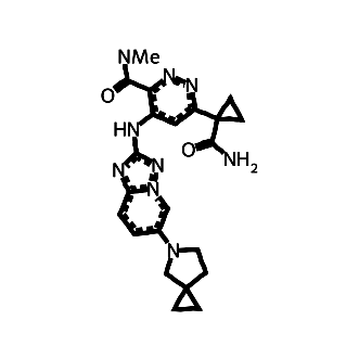 CNC(=O)c1nnc(C2(C(N)=O)CC2)cc1Nc1nc2ccc(N3CCC4(CC4)C3)cn2n1